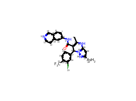 CC1=C(C(=O)Nc2ccc3cnccc3c2)C(c2ccc(C(F)(F)F)c(F)c2)n2nc([AsH2])cc2N1